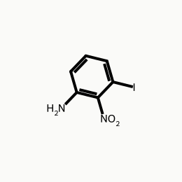 Nc1cccc(I)c1[N+](=O)[O-]